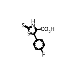 O=C(O)c1[nH]c(=S)sc1-c1ccc(F)cc1